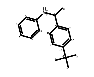 CC([SiH2]c1ccccc1)c1ccc(C(C)(C)C)cc1